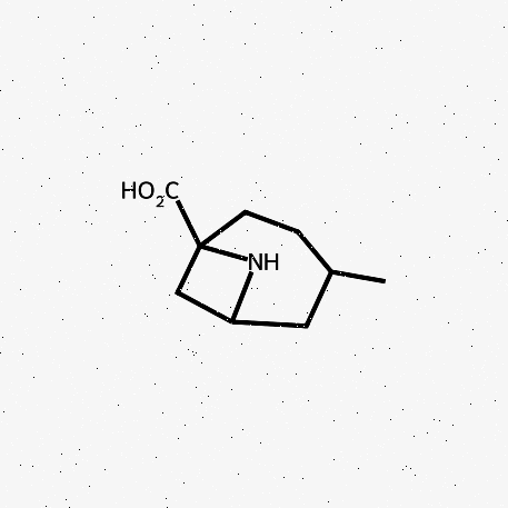 CC1CCC2(C(=O)O)CC(C1)N2